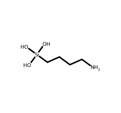 NCCCC[Si](O)(O)O